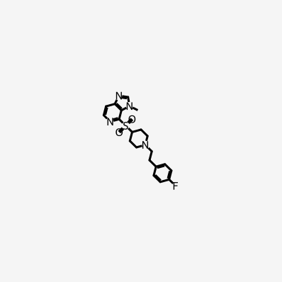 Cn1cnc2ccnc(S(=O)(=O)C3CCN(CCc4ccc(F)cc4)CC3)c21